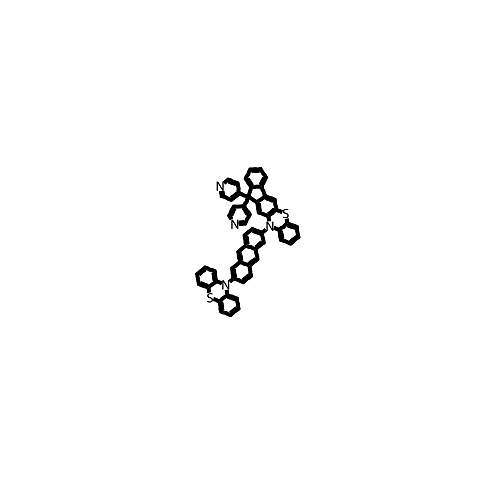 c1ccc2c(c1)Sc1ccccc1N2c1ccc2cc3cc(N4c5ccccc5Sc5cc6c(cc54)C(c4ccncc4)(c4ccncc4)c4ccccc4-6)ccc3cc2c1